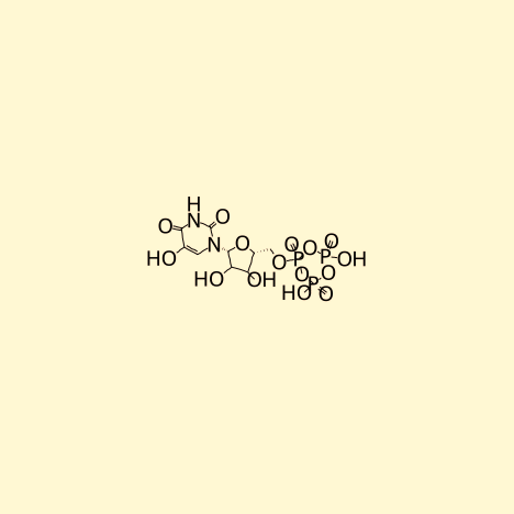 O=c1[nH]c(=O)n([C@@H]2O[C@H](COP3(=O)OP(=O)(O)OP(=O)(O)O3)C(O)C2O)cc1O